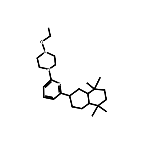 C[CH]ON1CCN(c2cccc(C3CCC4C(C3)C(C)(C)CCC4(C)C)n2)CC1